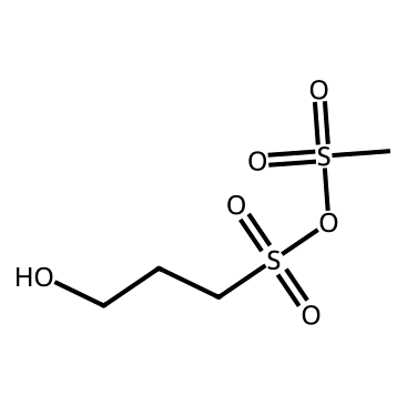 CS(=O)(=O)OS(=O)(=O)CCCO